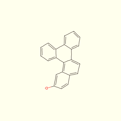 [O]c1ccc2ccc3c4ccccc4c4ccccc4c3c2c1